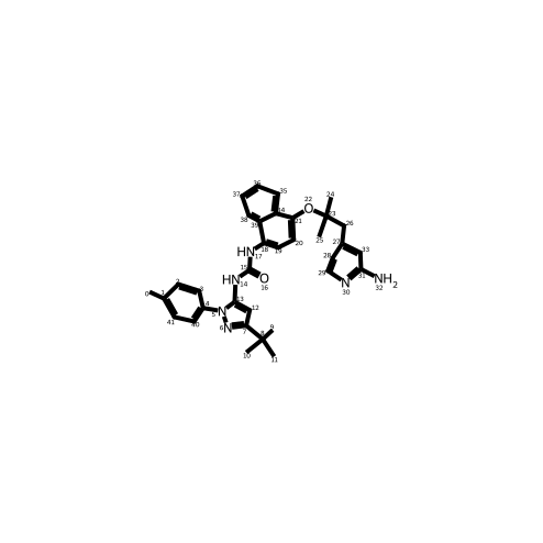 Cc1ccc(-n2nc(C(C)(C)C)cc2NC(=O)Nc2ccc(OC(C)(C)Cc3ccnc(N)c3)c3ccccc23)cc1